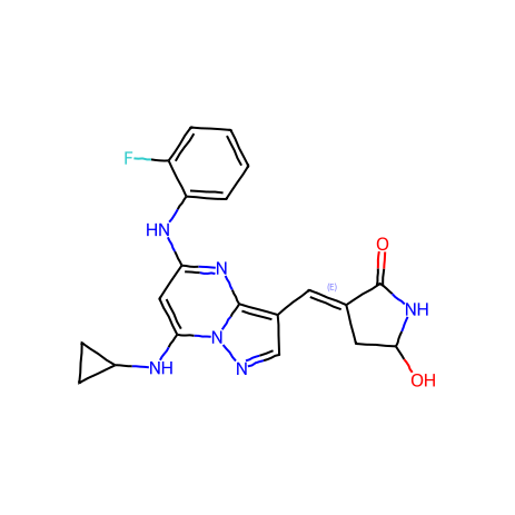 O=C1NC(O)C/C1=C\c1cnn2c(NC3CC3)cc(Nc3ccccc3F)nc12